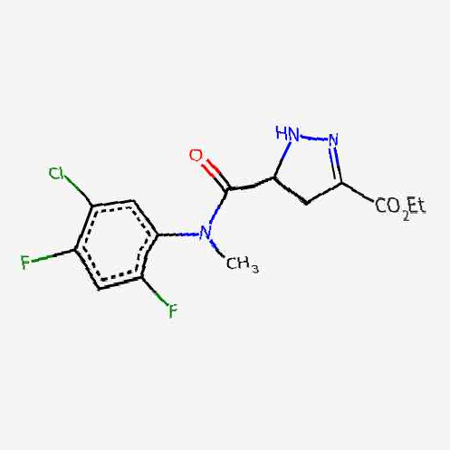 CCOC(=O)C1=NNC(C(=O)N(C)c2cc(Cl)c(F)cc2F)C1